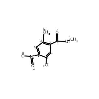 COC(=O)c1cc(Cl)c([N+](=O)[O-])cc1C